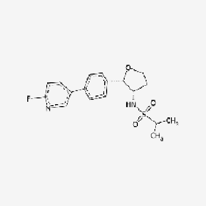 CC(C)S(=O)(=O)N[C@H]1CCO[C@H]1c1ccc(-c2ccc(F)nc2)cc1